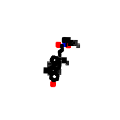 CON(C)C(=O)CCC[C@H]1CC[C@H]2[C@@H]3CC=C4CC(=O)CC[C@]4(C)[C@H]3CC[C@]12C